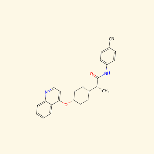 C[C@@H](C(=O)Nc1ccc(C#N)cc1)[C@H]1CC[C@@H](Oc2ccnc3ccccc23)CC1